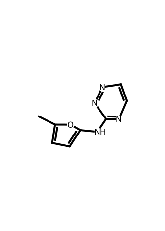 Cc1ccc(Nc2nccnn2)o1